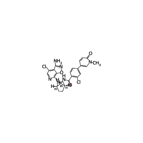 Cn1cc(-c2ccc(C(=O)N[C@@H]3[C@H]4CC[C@@H]3N(c3ncc(Cl)c5c(N)noc35)C4)c(Cl)c2)ccc1=O